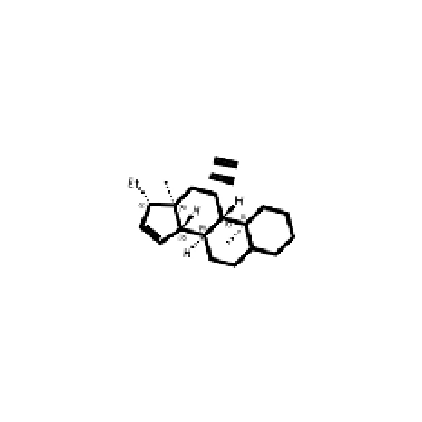 C=C.C=C.CC[C@H]1C=C[C@H]2[C@@H]3CCC4CCCC[C@]4(C)[C@H]3CC[C@]12C